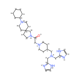 O=C(CN1CCC(CN(Cc2ncc[nH]2)Cc2ncc[nH]2)CC1)N1CCC2(CCN(C3CCCCC3)CC2)C1